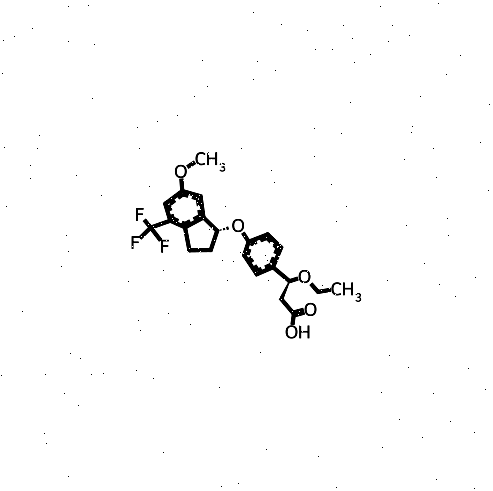 CCO[C@@H](CC(=O)O)c1ccc(O[C@@H]2CCc3c2cc(OC)cc3C(F)(F)F)cc1